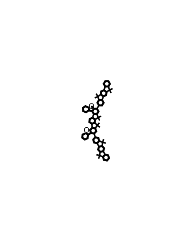 CC1(C)c2ccccc2-c2cc3c(cc21)-c1ccc(-c2cc4c(c5c2oc2ccccc25)-c2ccc5c(c2C4(C)C)C(C)(C)c2cc(-c4ccc6c(c4)C(C)(C)c4cc7c(cc4-6)C(C)(C)c4ccccc4-7)c4c(oc6ccccc64)c2-5)cc1C3(C)C